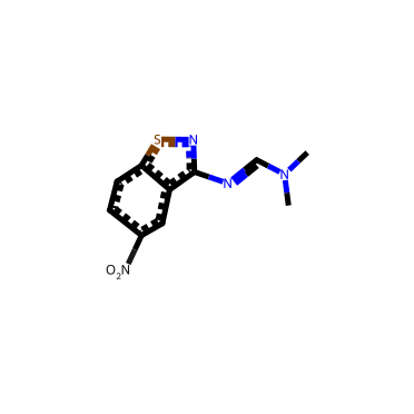 CN(C)C=Nc1nsc2ccc([N+](=O)[O-])cc12